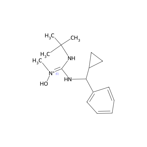 C/[N+](O)=C(/NC(c1ccccc1)C1CC1)NC(C)(C)C